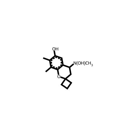 Cc1c(O)cc2c(c1C)OC1(CCC1)CC2N(C)O